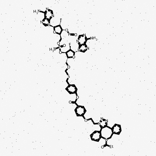 BP(=O)(OC[C@H]1O[C@@H](n2cnc3c(N)ncnc32)[C@H](F)[C@@H]1OP=O)O[C@H]1[C@@H](F)[C@H](n2cnc3c(N)ncnc32)O[C@@H]1COCSCc1ccc(OC(=O)c2ccc(OCCn3nnc4c3-c3ccccc3N(C(=O)CC)Cc3ccccc3-4)cc2)cc1